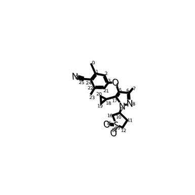 Cc1cc(Oc2c(C)nn(C3CCS(=O)(=O)C3)c2C2CC2)cc(C)c1C#N